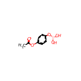 CC(=O)Oc1ccc(OB(O)O)cc1